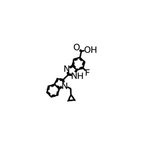 O=C(O)c1cc(F)c2[nH]c(-c3cc4ccccc4n3CC3CC3)nc2c1